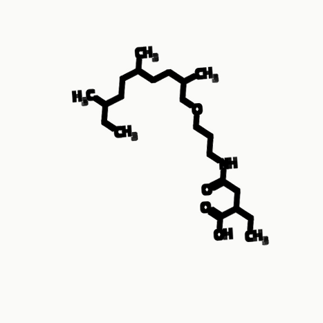 CCC(C)CCC(C)CCC(C)COCCCNC(=O)CC(CC)C(=O)O